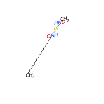 CCC=CCC=CCC=CCC=CCC=CCC=CCCC(=O)NCCSSCCNC(C)=O